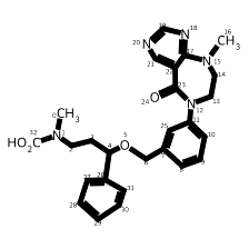 CN(CCC(OCc1cccc(N2CCN(C)c3ncncc3C2=O)c1)c1ccccc1)C(=O)O